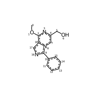 COc1nc(CO)cn2c(-c3ccccc3)ncc12